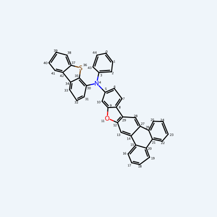 c1ccc(N(c2ccc3c(c2)oc2cc4c5ccccc5c5ccccc5c4cc23)c2cccc3c2sc2ccccc23)cc1